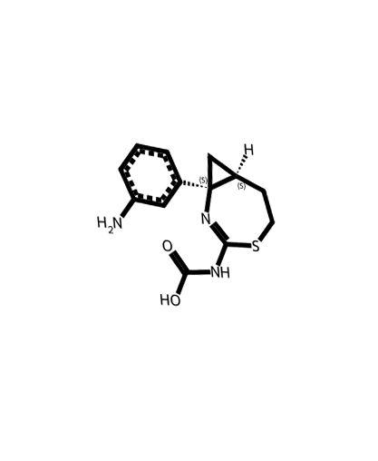 Nc1cccc([C@]23C[C@H]2CCSC(NC(=O)O)=N3)c1